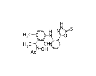 CC(=O)N(O)C(C)c1c(C)ccc(Nc2ccccc2-c2n[nH]c(=S)o2)c1C